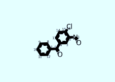 O=Nc1cc(C(=O)c2ccccc2)ccc1Cl